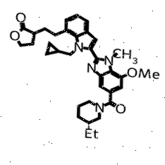 CC[C@@H]1CCCN(C(=O)c2cc(OC)c3c(c2)nc(-c2cc4cccc(CCC5CCOC5=O)c4n2CC2CC2)n3C)C1